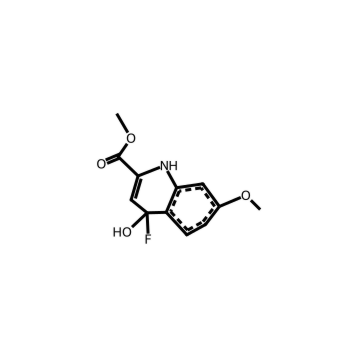 COC(=O)C1=CC(O)(F)c2ccc(OC)cc2N1